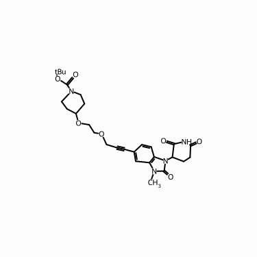 Cn1c(=O)n(C2CCC(=O)NC2=O)c2ccc(C#CCOCCOC3CCN(C(=O)OC(C)(C)C)CC3)cc21